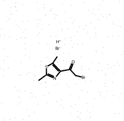 Cc1nc(C(=O)CBr)c(C)s1.[Br-].[H+]